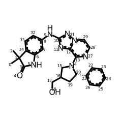 CC1(C)C(=O)Nc2cc(Nc3nc4c(N5CC(CO)C[C@H]5c5ccccc5)nccn4n3)ccc21